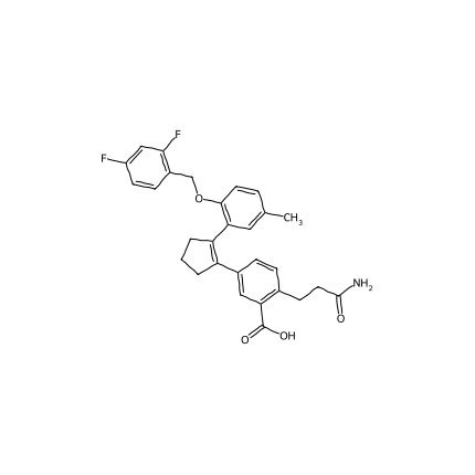 Cc1ccc(OCc2ccc(F)cc2F)c(C2=C(c3ccc(CCC(N)=O)c(C(=O)O)c3)CCC2)c1